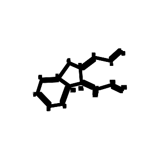 C=C/C=C1/Cc2ccccc2/C1=N/C=C